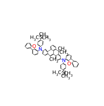 Cc1c2c3c(cccc3c3cc(N(c4ccc([Si](C)(C)C)cc4)c4cccc5c4oc4ccccc45)ccc13)C(C)(C)c1cc(N(c3ccc([Si](C)(C)C)cc3)c3cccc4c3oc3ccccc34)ccc1-2